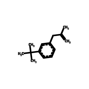 C=C(C)Cc1cccc(C(C)(C)C)c1